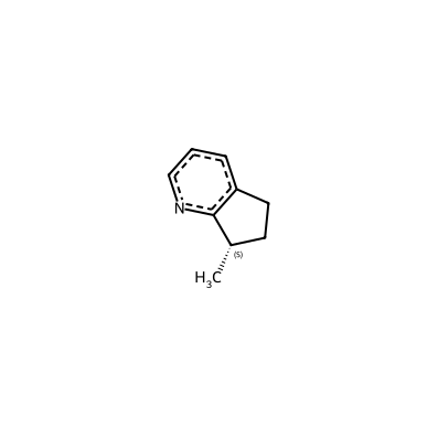 C[C@H]1CCc2cccnc21